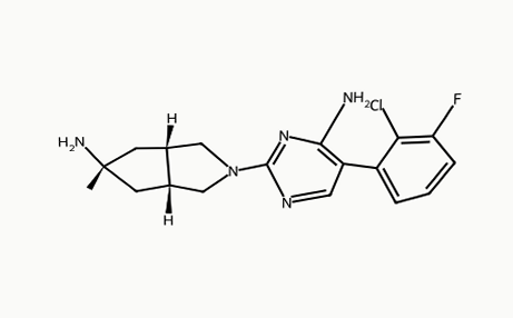 C[C@]1(N)C[C@H]2CN(c3ncc(-c4cccc(F)c4Cl)c(N)n3)C[C@H]2C1